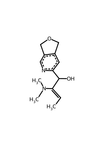 CC=C(C(O)c1cc2c(cn1)COC2)N(C)C